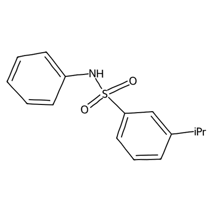 CC(C)c1cccc(S(=O)(=O)Nc2ccccc2)c1